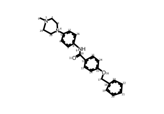 CN1CCN(c2ccc(NC(=O)c3ccc(OCc4ccccc4)cc3)cc2)CC1